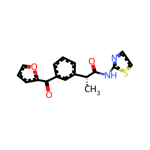 C[C@@H](C(=O)Nc1nccs1)c1cccc(C(=O)c2ccco2)c1